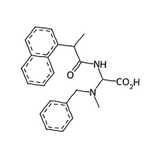 CC(C(=O)NC(C(=O)O)N(C)Cc1ccccc1)c1cccc2ccccc12